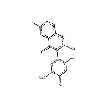 COc1cc(-n2c(S)nc3ccc(C)cc3c2=O)c(Cl)cc1Cl